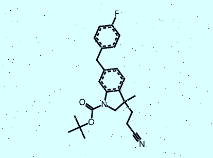 CC(C)(C)OC(=O)N1CC(C)(CCC#N)c2ccc(Cc3ccc(F)cc3)cc21